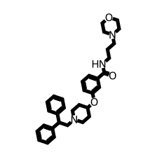 O=C(NCCCN1CCOCC1)c1cccc(OC2CCN(CC(c3ccccc3)c3ccccc3)CC2)c1